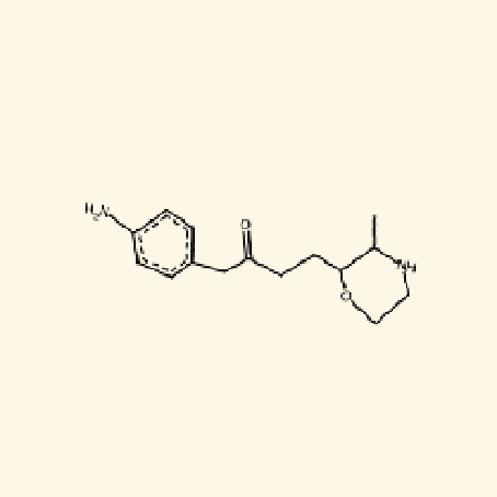 CC1NCCOC1CCC(=O)Cc1ccc(N)cc1